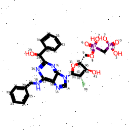 O=P(O)(O)CP(=O)(O)OC[C@H]1O[C@@H](n2cnc3c(NCc4ccccc4)nc(C(O)c4ccccc4)nc32)[C@@H](F)[C@@H]1O